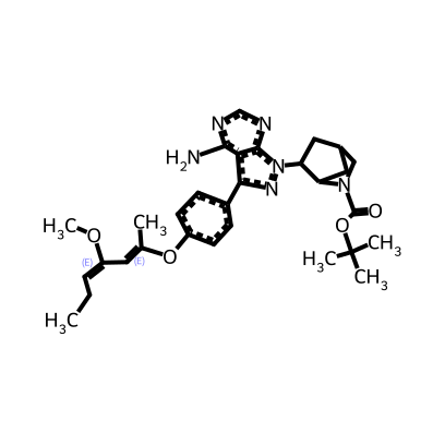 CC/C=C(\C=C(/C)Oc1ccc(-c2nn(C3CC4CC3N(C(=O)OC(C)(C)C)C4)c3ncnc(N)c23)cc1)OC